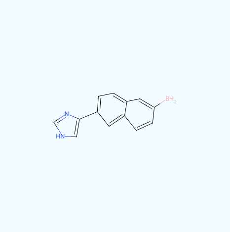 Bc1ccc2cc(-c3c[nH]cn3)ccc2c1